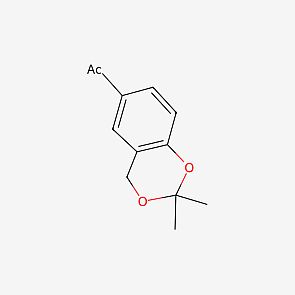 [CH2]C(=O)c1ccc2c(c1)COC(C)(C)O2